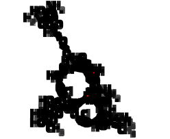 CN[C@H](CC(C)C)C(=O)N[C@H]1C(=O)N[C@@H](CC(N)=O)C(=O)N[C@H]2C(=O)N[C@@H](C(N)=O)c3ccc(O)c(c3)-c3c(O)cc(O)cc3C(C(=O)NCOCCOCCNC(=O)Oc3ccc(N)c(O)c3C(N)=O)NC(=O)C[C@H](O)c3ccc(c(Cl)c3)Oc3cc2cc(c3OC2OC[C@@H](O)[C@H](O)[C@@H]2O[C@@H]2CC(=N)[C@H](O)[C@@H](C)O2)Oc2ccc(cc2Cl)[C@H]1O